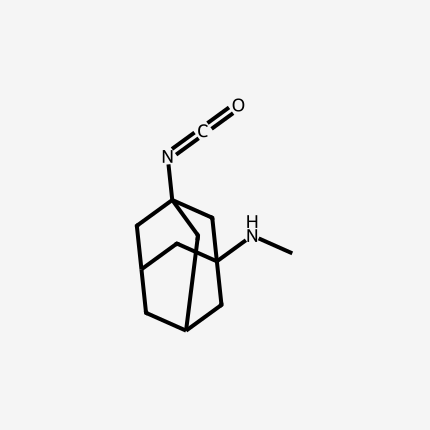 CNC12CC3CC(CC(N=C=O)(C3)C1)C2